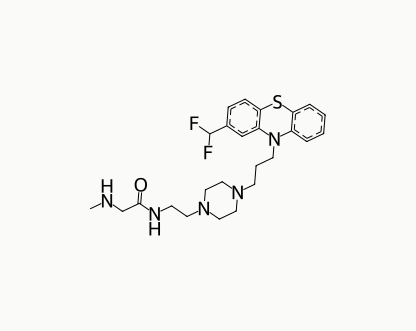 CNCC(=O)NCCN1CCN(CCCN2c3ccccc3Sc3ccc(C(F)F)cc32)CC1